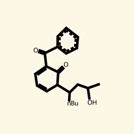 CCCCC(CC(C)O)C1C=CC=C(C(=O)c2ccccc2)C1=O